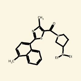 CCN(CC)C1CCN(C(=O)c2sc(-c3ccc(C)c4ccccc34)nc2C)C1